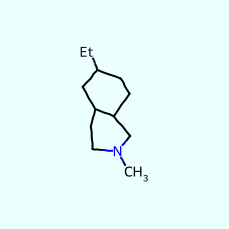 CCC1CCC2CN(C)CCC2C1